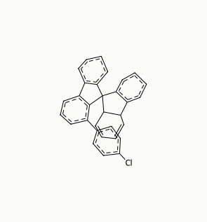 Clc1ccc(-c2cccc3c2C2(c4ccccc4-3)c3ccccc3C3C=CC=CC32)cc1